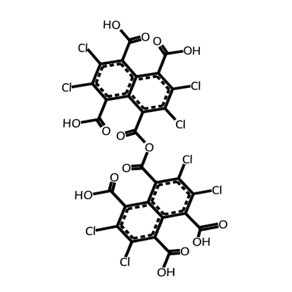 O=C(O)c1c(Cl)c(Cl)c(C(=O)O)c2c(C(=O)OC(=O)c3c(Cl)c(Cl)c(C(=O)O)c4c(C(=O)O)c(Cl)c(Cl)c(C(=O)O)c34)c(Cl)c(Cl)c(C(=O)O)c12